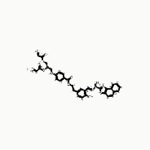 C=CC(=O)OCC(COc1ccc(C(=O)OCCc2ccc(O)c(/C=N/N(C)c3nc4c(ccc5ccccc54)s3)c2)cc1)OC(=O)C=C